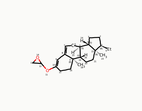 CC[C@@H]1CC[C@H]2[C@@H]3CC=C4C=C(OC5CO5)CC[C@]4(C)[C@H]3CC[C@]12C